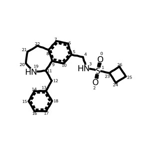 O=S(=O)(NCc1ccc2c(c1)C(Cc1ccccc1)NCCC2)C1CCC1